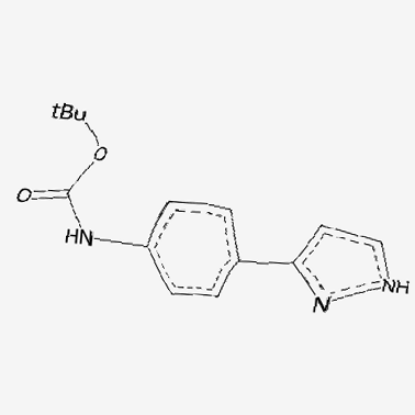 CC(C)(C)OC(=O)Nc1ccc(-c2cc[nH]n2)cc1